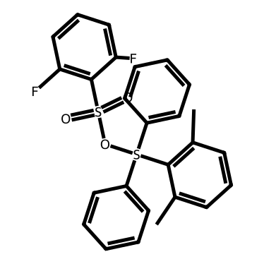 Cc1cccc(C)c1S(OS(=O)(=O)c1c(F)cccc1F)(c1ccccc1)c1ccccc1